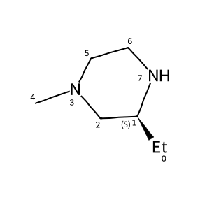 CC[C@H]1CN(C)CCN1